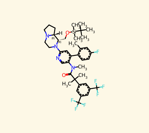 Cc1cc(F)ccc1-c1cc(N2CCN3CCC[C@@H]3[C@@H]2CO[Si](C)(C)C(C)(C)C)ncc1N(C)C(=O)C(C)(C)c1cc(C(F)(F)F)cc(C(F)(F)F)c1